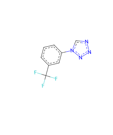 FC(F)(F)c1cccc(-n2cnnn2)c1